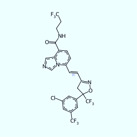 O=C(NCCC(F)(F)F)c1ccc(/C=C/C2=NOC(c3cc(Cl)cc(C(F)(F)F)c3)(C(F)(F)F)C2)n2cncc12